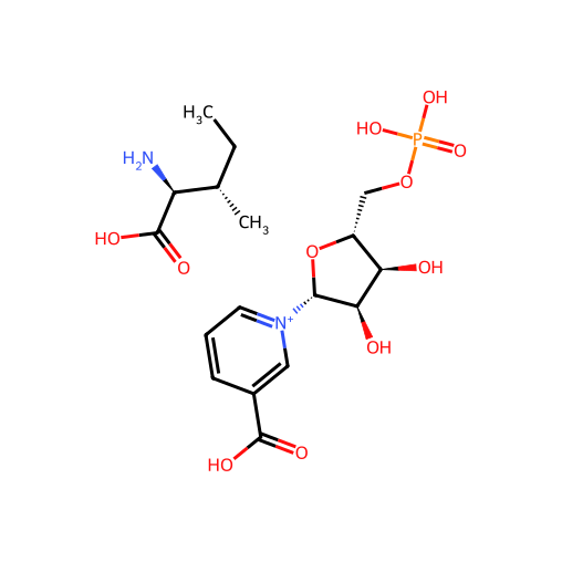 CC[C@H](C)[C@H](N)C(=O)O.O=C(O)c1ccc[n+]([C@@H]2O[C@H](COP(=O)(O)O)[C@@H](O)[C@H]2O)c1